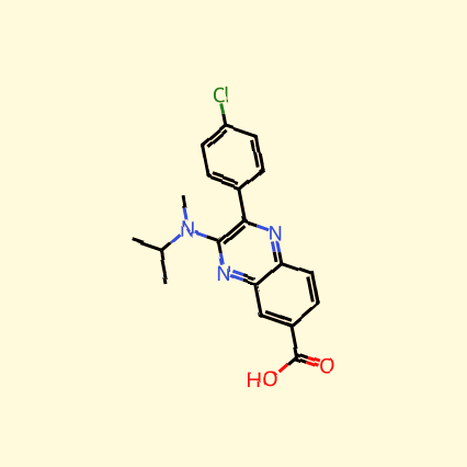 CC(C)N(C)c1nc2cc(C(=O)O)ccc2nc1-c1ccc(Cl)cc1